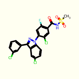 CS(=O)(=O)NC(=O)c1cc(Cl)c(-n2nc(-c3cccc(Cl)c3)c3cc(Cl)ccc32)cc1F